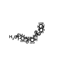 CN(C)Cc1ccc(NC(=O)c2cccc(CNC(=O)Oc3ccc4ncccc4c3)c2)cc1